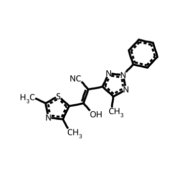 Cc1nc(C)c(C(O)=C(C#N)c2nn(-c3ccccc3)nc2C)s1